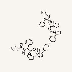 COC(=O)N[C@@H](C(=O)N1CCC[C@H]1c1ncc(-c2ccc(C3CCC(c4cnc([C@@H]5CCCN5C(=O)[C@H](NC(=O)OC)c5ccccc5)[nH]4)CC3)cc2)[nH]1)c1ccccc1